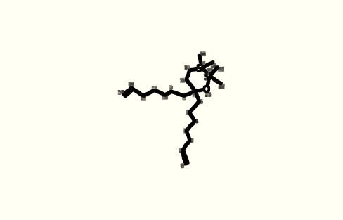 C=CCCCCCC1(CCCCCC=C)CC[Si](C)(C)[Si](C)(C)O1